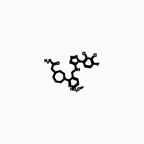 CC(=O)O.NC(=O)CN1CCCN(c2ncccc2CNc2nnnn2-c2ccc(F)c(Cl)c2Cl)CC1